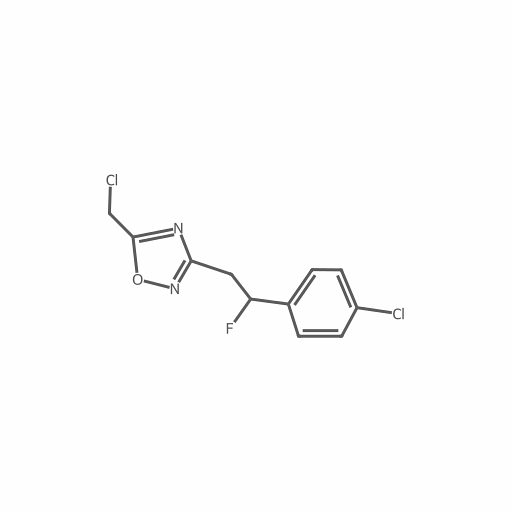 FC(Cc1noc(CCl)n1)c1ccc(Cl)cc1